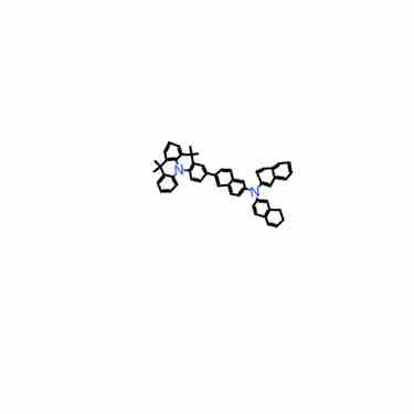 CC1(C)c2ccccc2N2c3ccc(-c4ccc5cc(N(c6ccc7c(c6)CCC=C7)c6ccc7ccccc7c6)ccc5c4)cc3C(C)(C)c3cccc1c32